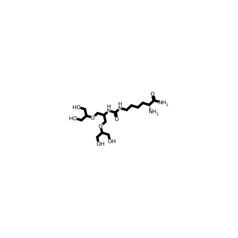 NC(=O)[C@H](N)CCCCNC(=O)NC(COC(CO)CO)COC(CO)CO